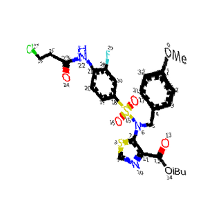 COc1ccc(CN(c2scnc2C(=O)OCC(C)C)S(=O)(=O)c2ccc(NC(=O)CCCl)c(F)c2)cc1